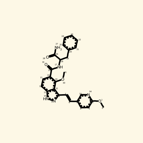 COc1ccc(/C=C/c2n[nH]c3ccc(C(=O)NC(Cc4ccccc4)C(N)=O)c(OC)c23)cn1